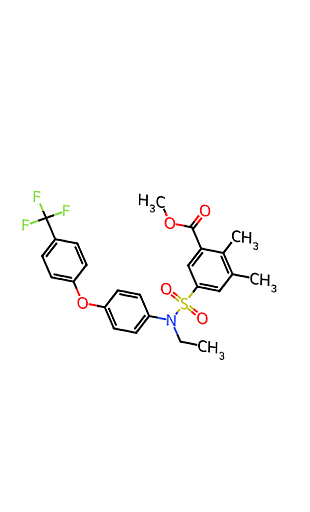 CCN(c1ccc(Oc2ccc(C(F)(F)F)cc2)cc1)S(=O)(=O)c1cc(C)c(C)c(C(=O)OC)c1